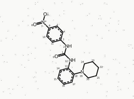 O=C(Nc1ccc([N+](=O)[O-])cc1)Nc1ccccc1N1CCCCC1